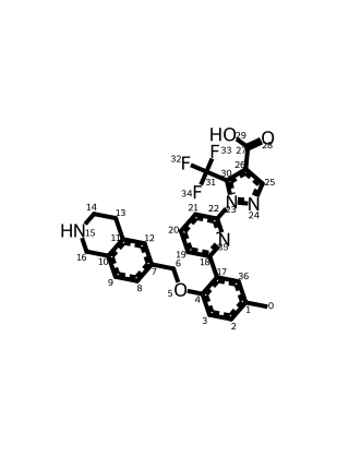 Cc1ccc(OCc2ccc3c(c2)CCNC3)c(-c2cccc(-n3ncc(C(=O)O)c3C(F)(F)F)n2)c1